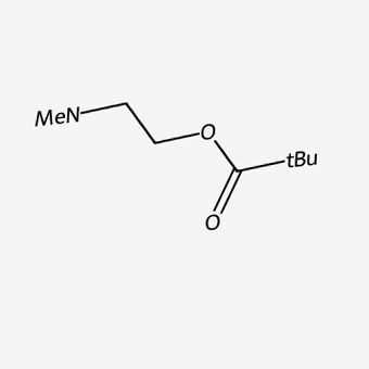 CNCCOC(=O)C(C)(C)C